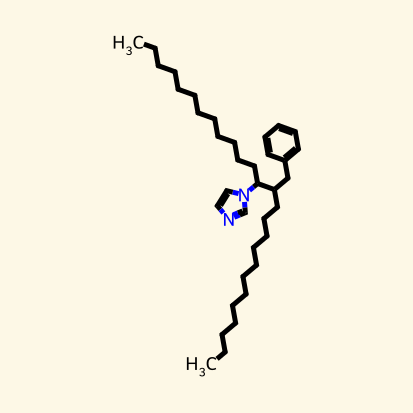 CCCCCCCCCCCCC(Cc1ccccc1)C(CCCCCCCCCCCC)n1ccnc1